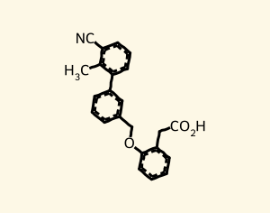 Cc1c(C#N)cccc1-c1cccc(COc2ccccc2CC(=O)O)c1